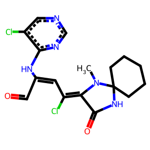 CN1/C(=C(Cl)\C=C(/C=O)Nc2ncncc2Cl)C(=O)NC12CCCCC2